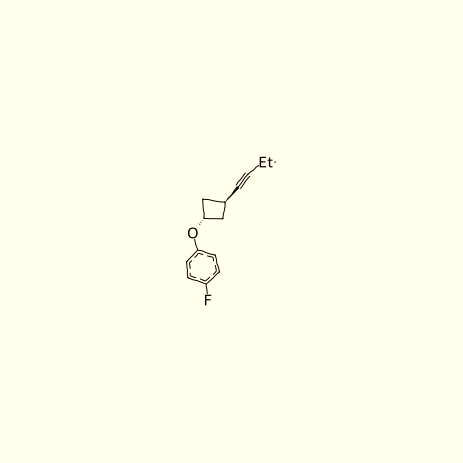 C[CH]C#C[C@H]1C[C@H](Oc2ccc(F)cc2)C1